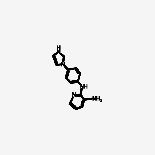 Nc1cccnc1Nc1ccc(N2C=CNC2)cc1